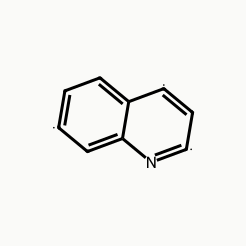 [c]1ccc2[c]c[c]nc2c1